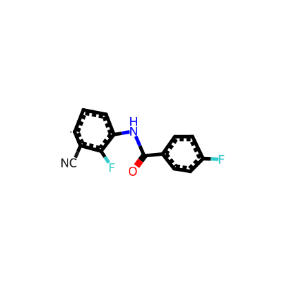 N#Cc1[c]ccc(NC(=O)c2ccc(F)cc2)c1F